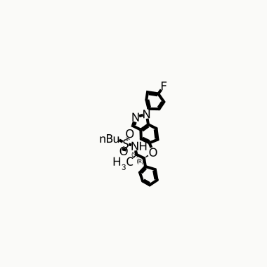 CCCCS(=O)(=O)N[C@@H](C)[C@H](Oc1ccc2c(cnn2-c2ccc(F)cc2)c1)c1ccccc1